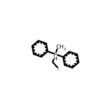 C[PH](CI)(c1ccccc1)c1ccccc1